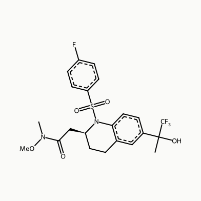 CON(C)C(=O)C[C@@H]1CCc2cc(C(C)(O)C(F)(F)F)ccc2N1S(=O)(=O)c1ccc(F)cc1